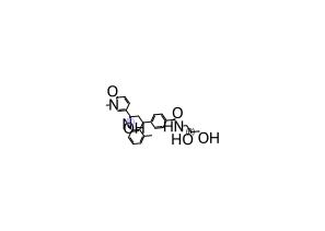 Cc1ccccc1C(C/C(=N\O)c1ccc(=O)n(C)c1)c1ccc(C(=O)NC[C@@H](O)CO)cc1